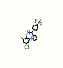 Cc1cc(Cl)cc2c1CN=C(c1ccc(C(C)(F)F)cc1)c1cccn1-2